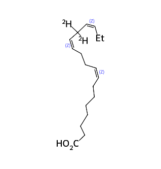 [2H]C([2H])(/C=C\CC)/C=C\CC/C=C\CCCCCCC(=O)O